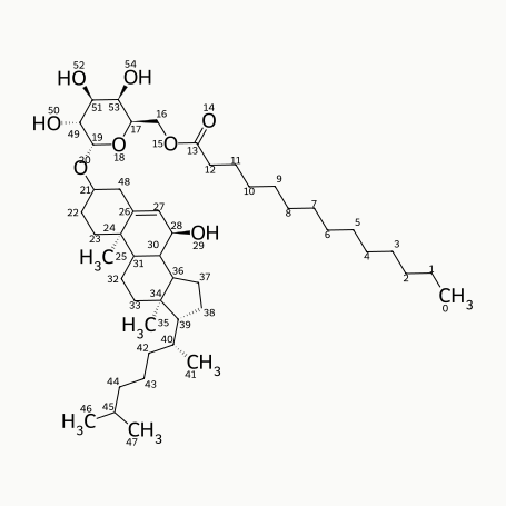 CCCCCCCCCCCCCC(=O)OC[C@H]1O[C@H](OC2CC[C@@]3(C)C(=C[C@@H](O)C4C3CC[C@@]3(C)C4CC[C@@H]3[C@H](C)CCCC(C)C)C2)[C@H](O)[C@@H](O)[C@H]1O